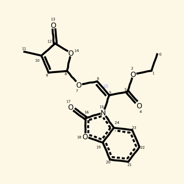 CCOC(=O)/C(=C/OC1C=C(C)C(=O)O1)n1c(=O)oc2ccccc21